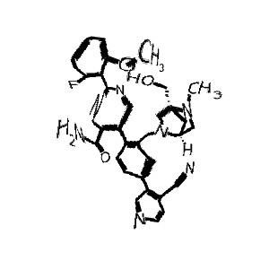 COc1cccc(F)c1-c1ncc(-c2ccc(-c3cnccc3C#N)cc2N2C[C@]3(CO)C[C@H]2CN3C)c(C(N)=O)n1